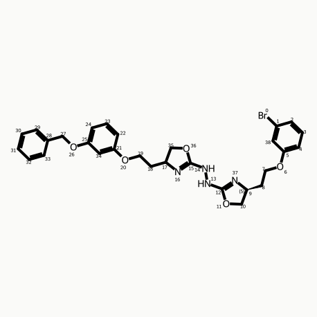 Brc1cccc(OCC[C@H]2COC(NNC3=NC(CCOc4cccc(OCc5ccccc5)c4)CO3)=N2)c1